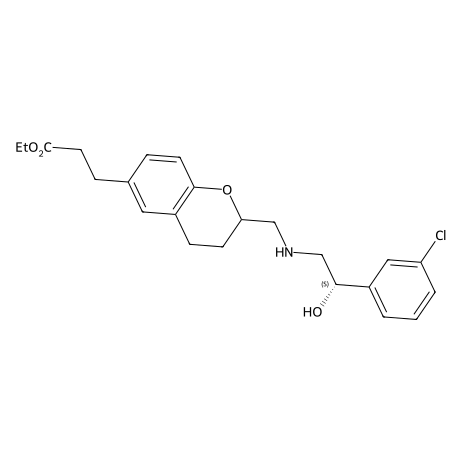 CCOC(=O)CCc1ccc2c(c1)CCC(CNC[C@@H](O)c1cccc(Cl)c1)O2